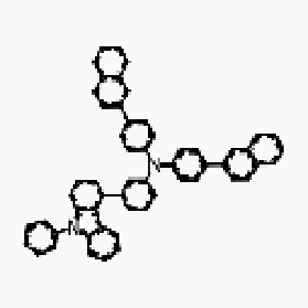 c1ccc(-n2c3ccccc3c3c(-c4cccc(N(c5ccc(-c6ccc7ccccc7c6)cc5)c5ccc(-c6ccc7ccccc7c6)cc5)c4)cccc32)cc1